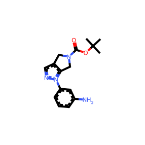 CC(C)(C)OC(=O)N1Cc2cnn(-c3cccc(N)c3)c2C1